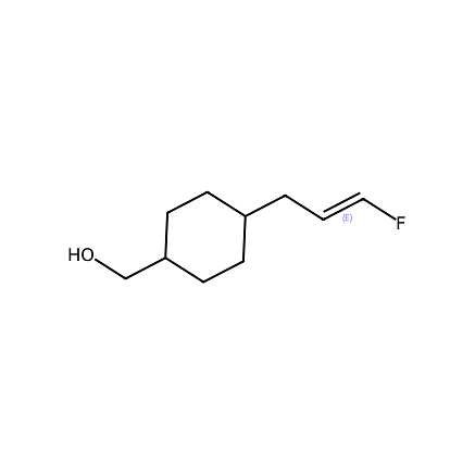 OCC1CCC(C/C=C/F)CC1